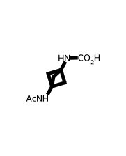 CC(=O)NC12CC(NC(=O)O)(C1)C2